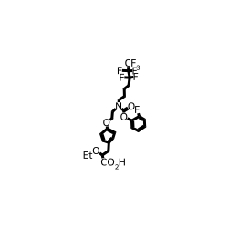 CCOC(Cc1ccc(OCCN(CCCCC(F)(F)C(F)(F)C(F)(F)F)C(=O)Oc2ccccc2F)cc1)C(=O)O